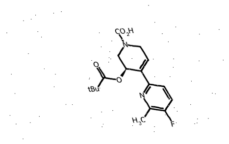 Cc1nc(C2=CCN(C(=O)O)C[C@@H]2OC(=O)C(C)(C)C)ccc1F